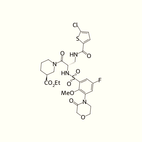 CCOC(=O)[C@H]1CCCN(C(=O)[C@H](CNC(=O)c2ccc(Cl)s2)NS(=O)(=O)c2cc(F)cc(N3CCOCC3=O)c2OC)C1